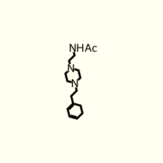 CC(=O)NCCN1CCN(CCC2=CC=CCC2)CC1